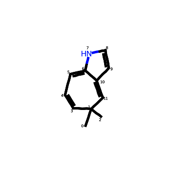 CC1(C)C=CC=c2[nH]ccc2=C1